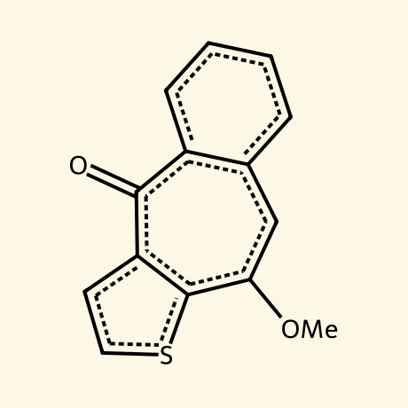 COc1cc2ccccc2c(=O)c2ccsc12